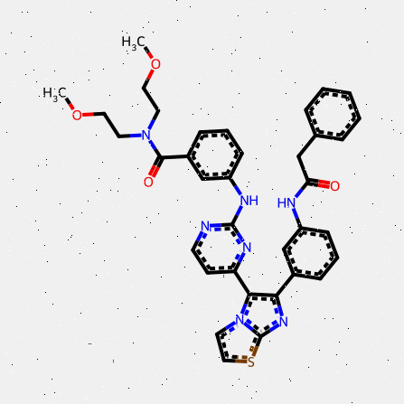 COCCN(CCOC)C(=O)c1cccc(Nc2nccc(-c3c(-c4cccc(NC(=O)Cc5ccccc5)c4)nc4sccn34)n2)c1